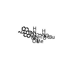 C=CCOc1ccc2ccccc2c1-c1c(OCC(=O)N[C@H](CCCCNC(=O)OC(C)(C)C)C(=O)N[C@@H](CC=C)C(=O)OC)ccc2ccccc12